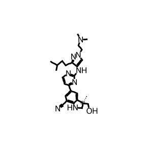 CC(C)CCc1nn(CCN(C)C)cc1Nc1nccc(-c2cc(C#N)c3c(c2)[C@@](C)(CO)CN3)n1